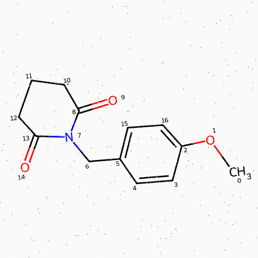 COc1ccc(CN2C(=O)[CH]CCC2=O)cc1